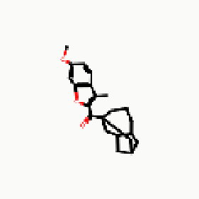 COc1ccc2c(C)c(C(=O)C34CCCC5CC(CC5C3)C4)oc2c1